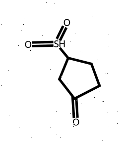 O=C1CCC([SH](=O)=O)C1